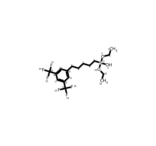 CCO[Si](O)(CCCCCc1cc(C(F)(F)F)cc(C(F)(F)F)c1)OCC